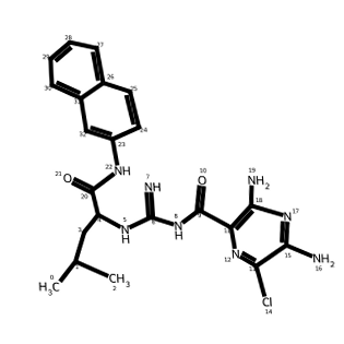 CC(C)CC(NC(=N)NC(=O)c1nc(Cl)c(N)nc1N)C(=O)Nc1ccc2ccccc2c1